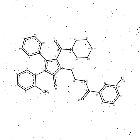 Cc1ccccc1-n1c(-c2ccccc2)c(C(=O)N2CCNCC2)n(CCNC(=O)c2cccc(Cl)c2)c1=O